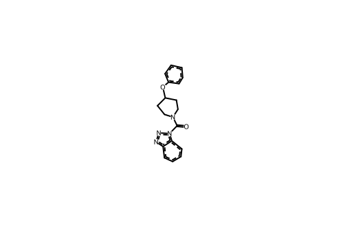 O=C(N1CCC(Oc2ccccc2)CC1)n1nnc2ccccc21